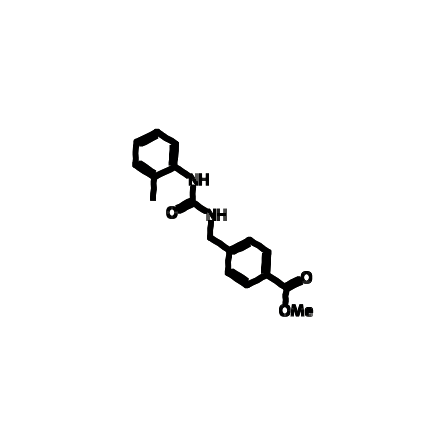 COC(=O)c1ccc(CNC(=O)Nc2ccccc2C)cc1